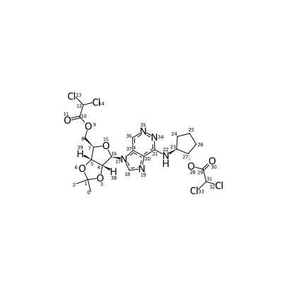 CC1(C)O[C@@H]2[C@H](O1)[C@@H](COC(=O)C(Cl)Cl)O[C@H]2n1cnc2c(N[C@H]3CCC[C@@H]3OC(=O)C(Cl)Cl)nncc21